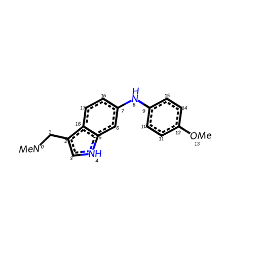 CNCc1c[nH]c2cc(Nc3ccc(OC)cc3)ccc12